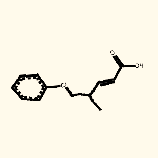 CC(C=CC(=O)O)COc1ccccc1